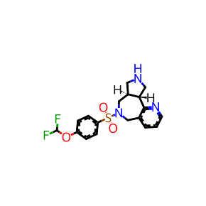 O=S(=O)(c1ccc(OC(F)F)cc1)N1Cc2cccnc2[C@H]2CNC[C@@H]2C1